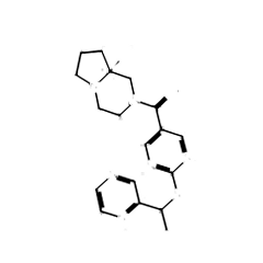 CC(Nc1ncc(C(=O)N2CCN3CCC[C@@H]3C2)cn1)c1cnccn1